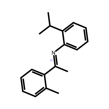 C/C(=N\c1ccccc1C(C)C)c1ccccc1C